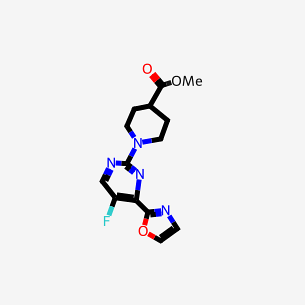 COC(=O)C1CCN(c2ncc(F)c(-c3ncco3)n2)CC1